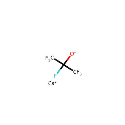 [Cs+].[O-]C(F)(C(F)(F)F)C(F)(F)F